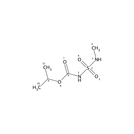 CNS(=O)(=O)NC(=O)OC(C)C